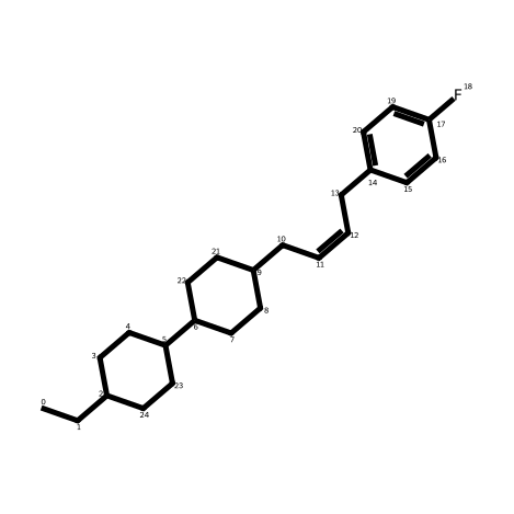 CCC1CCC(C2CCC(C/C=C\Cc3ccc(F)cc3)CC2)CC1